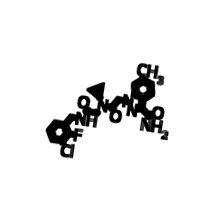 Cc1ccc2c(C(N)=O)nn(CC(=O)N(CC(=O)NCc3cccc(Cl)c3F)C3CC3)c2c1